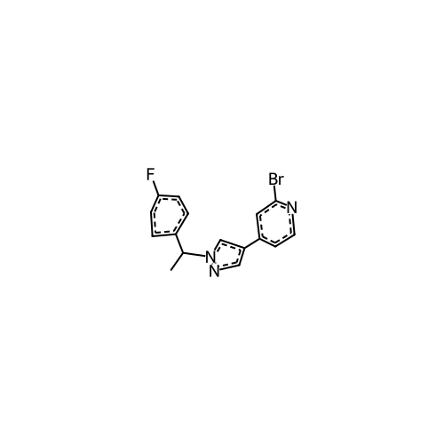 CC(c1ccc(F)cc1)n1cc(-c2ccnc(Br)c2)cn1